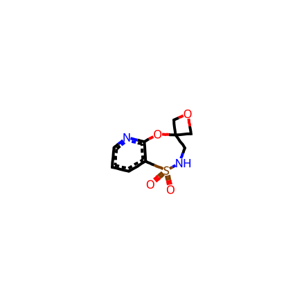 O=S1(=O)NCC2(COC2)Oc2ncccc21